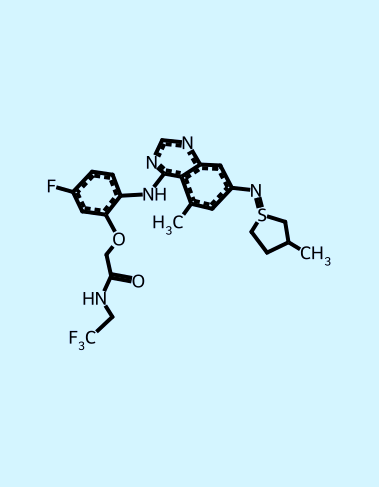 Cc1cc(/N=S2\CCC(C)C2)cc2ncnc(Nc3ccc(F)cc3OCC(=O)NCC(F)(F)F)c12